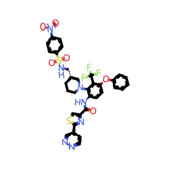 O=C(Nc1ccc(Oc2ccccc2)c(C(F)(F)F)c1N1CCC[C@H](CNS(=O)(=O)c2ccc([N+](=O)[O-])cc2)C1)c1csc(-c2ccnnc2)n1